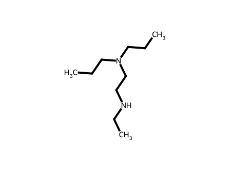 CCCN(CCC)CCNCC